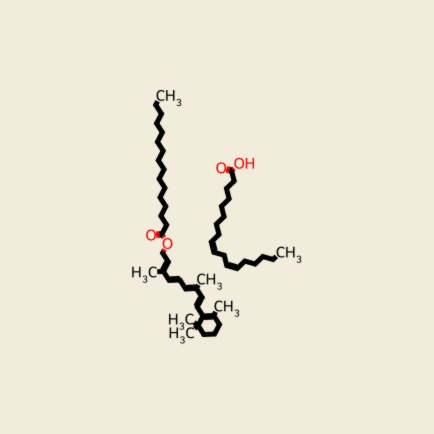 CCCCC/C=C\C/C=C\CCCCCCCC(=O)O.CCCCCCCCCCCCCCCC(=O)OCC=C(C)C=CC=C(C)C=CC1=C(C)CCCC1(C)C